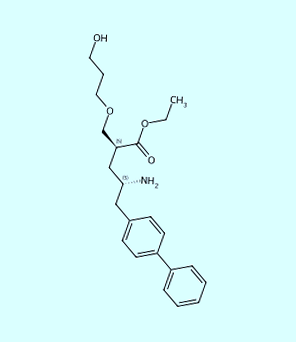 CCOC(=O)[C@H](COCCCO)C[C@H](N)Cc1ccc(-c2ccccc2)cc1